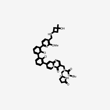 COc1nc(-c2cccc(-c3cccc(-c4ccn5c(=O)c(CN(C[C@@H]6CCC(=O)N6)C(=O)OC(C)(C)C)cnc5c4)c3Cl)c2Cl)ccc1CNC1CC(C)(O)C1